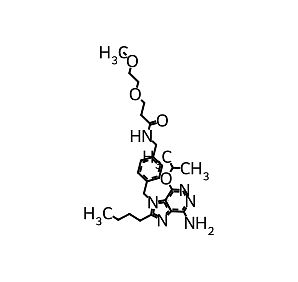 CCCCc1nc2c(N)nnc(OC(C)C)c2n1Cc1ccc(CNC(=O)CCOCCOC)cc1